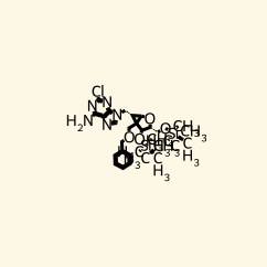 CC(C)(C)[Si](C)(C)OC[C@H]1OC2[C@@H](Cn3cnc4c(N)nc(Cl)nc43)C2(COCc2ccccc2)C1O[Si](C)(C)C(C)(C)C